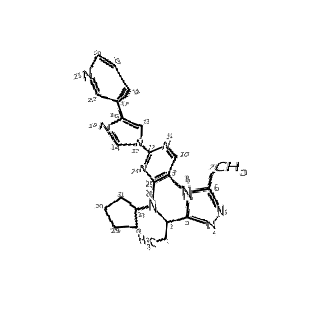 CCC1c2nnc(C)n2-c2cnc(-n3cnc(-c4cccnc4)c3)nc2N1C1CCCC1